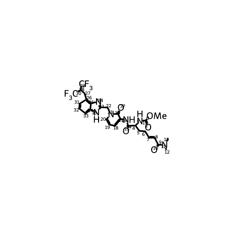 COC(=O)NC(CC/C=C/C(=O)N(C)C)C(=O)Nc1cccn(Cc2nc3c(CC(C(F)(F)F)C(F)(F)F)cccc3[nH]2)c1=O